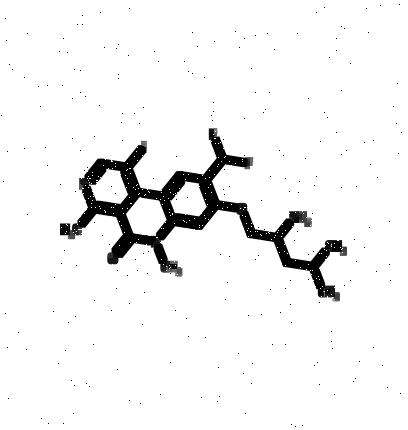 Cc1ncc(I)c2c1c(=O)n(C)c1cc(OCC(N)CC(C)C)c(C(F)F)cc21